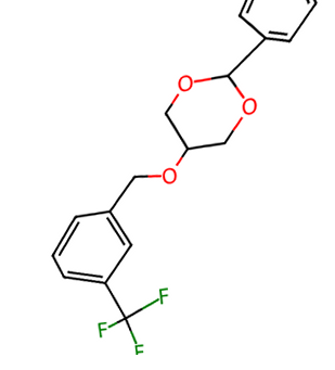 FC(F)(F)c1cccc(COC2COC(c3ccccc3)OC2)c1